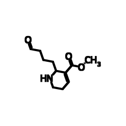 COC(=O)C1=CCCNC1CCCC=O